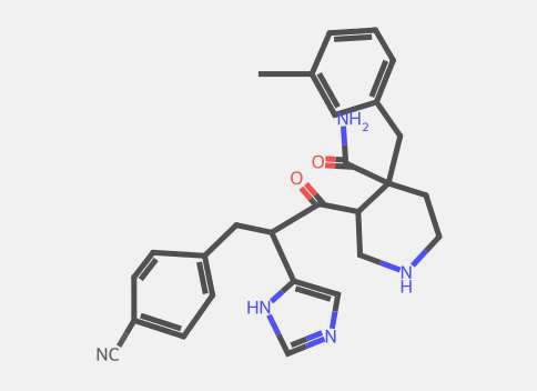 Cc1cccc(CC2(C(N)=O)CCNCC2C(=O)C(Cc2ccc(C#N)cc2)c2cnc[nH]2)c1